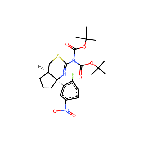 CC(C)(C)OC(=O)N(C(=O)OC(C)(C)C)C1=N[C@@]2(c3cc([N+](=O)[O-])ccc3F)CCC[C@H]2CS1